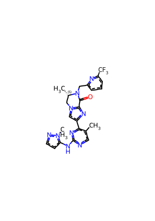 Cc1cnc(Nc2ccnn2C)nc1-c1cn2c(n1)C(=O)N(Cc1cccc(C(F)(F)F)n1)[C@@H](C)C2